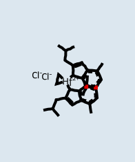 Cc1ccc(C)c2c1C=C(CC(C)C)[CH]2[Hf+2]1([CH]2C(CC(C)C)=Cc3c(C)ccc(C)c32)[CH2][CH2]1.[Cl-].[Cl-]